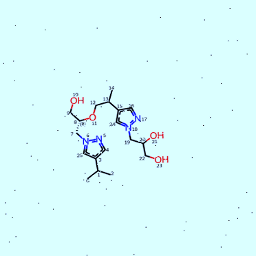 CC(C)c1cnn(C[C@H](CO)OCC(C)c2cnn(CC(O)CO)c2)c1